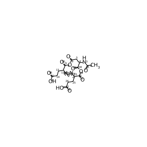 CC(=O)NC(CC(=O)OC(=O)C(N)CCC(=O)O)C(=O)OC(=O)C(N)CCC(=O)O